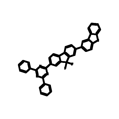 FC1(F)c2cc(-c3ccc4sc5ccccc5c4c3)ccc2-c2ccc(-c3nc(-c4ccccc4)nc(-c4ccccc4)n3)cc21